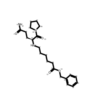 NC(=O)CC[C@H](NCCCCCC(=O)OCc1ccccc1)C(=O)N1CCCC1